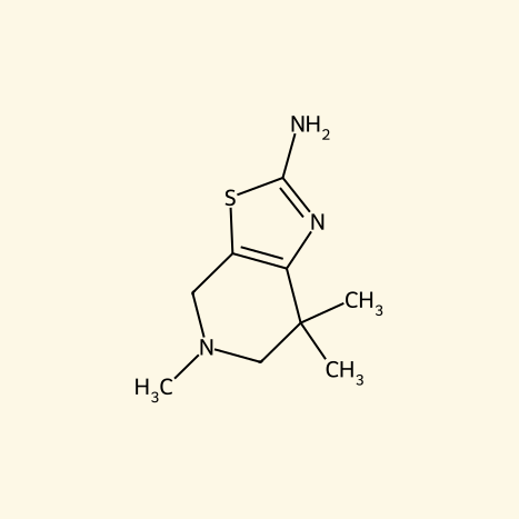 CN1Cc2sc(N)nc2C(C)(C)C1